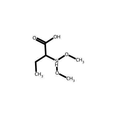 CCC(C(=O)O)[SiH](OC)OC